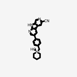 N#Cc1cc2c(cn1)[nH]c1ncc(-c3ccc(C[N+]4(O)CCCCC4)cc3)cc12